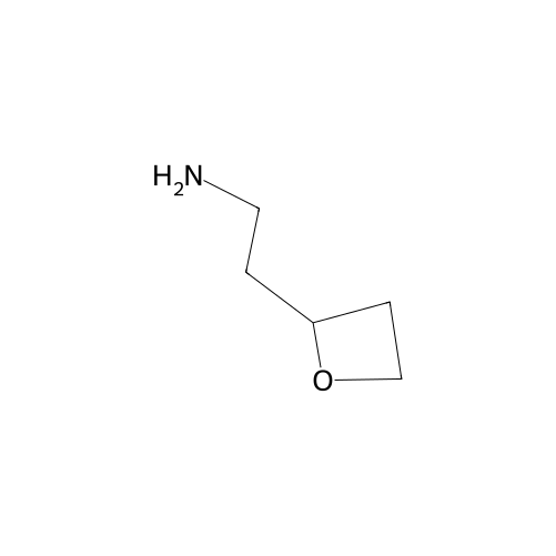 NCCC1CCO1